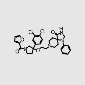 O=C(c1ccco1)N1CCC(OCCN2CCC3(CC2)C(=O)NCN3c2ccccc2)(c2ccc(Cl)c(Cl)c2)C1